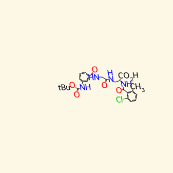 Cc1cccc(Cl)c1C(=O)NC(CNC(=O)CNC(=O)c1cccc(NC(=O)OC(C)(C)C)c1)C(=O)O